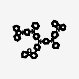 c1ccc(N(c2ccc(N(c3ccc(-c4cccc5c4oc4ccccc45)cc3)c3ccc(N(c4ccccc4)c4ccc(-n5c6ccccc6c6ccccc65)cc4)cc3)cc2)c2ccc(-n3c4ccccc4c4ccccc43)cc2)cc1